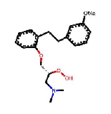 COc1cccc(CCc2ccccc2OC[C@@H](CN(C)C)OO)c1